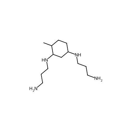 CC1CCC(NCCCN)CC1NCCCN